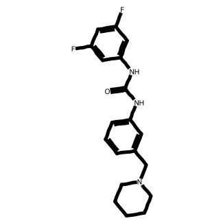 O=C(Nc1cc(F)cc(F)c1)Nc1cccc(CN2CCCCC2)c1